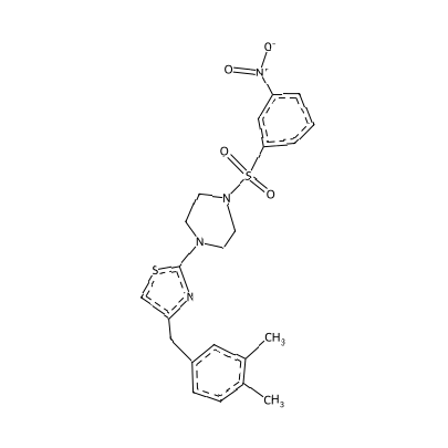 Cc1ccc(Cc2csc(N3CCN(S(=O)(=O)c4cccc([N+](=O)[O-])c4)CC3)n2)cc1C